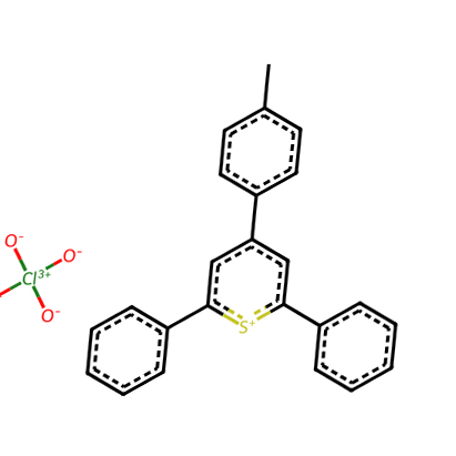 Cc1ccc(-c2cc(-c3ccccc3)[s+]c(-c3ccccc3)c2)cc1.[O-][Cl+3]([O-])([O-])[O-]